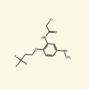 CNc1ccc(OCCC(F)(F)F)c(NC(=O)CCl)c1